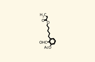 C=CC(=O)OCCCCCc1cccc(OC(C)=O)c1C=O